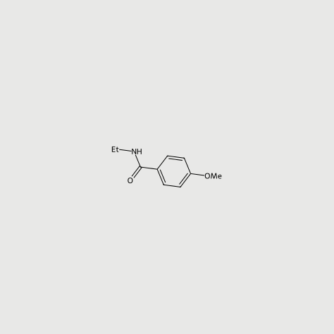 [CH2]CNC(=O)c1ccc(OC)cc1